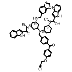 C#CCOc1ccc(C(=O)c2ccc(CN(C3C[C@@H](NCc4ccc5ncoc5c4)C[C@@H](N(CC)C(=O)c4cc5ccccc5[nH]4)C3)[C@@H]3CCC[C@H](N(CC)C(O)c4cc5ncccc5[nH]4)C3)cc2)cc1